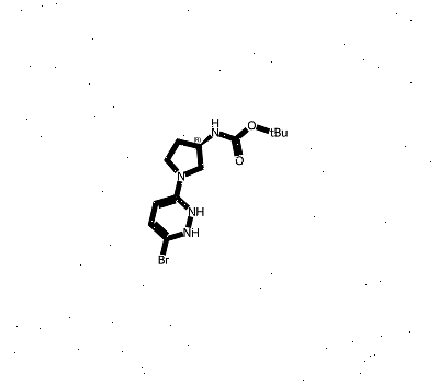 CC(C)(C)OC(=O)N[C@@H]1CCN(C2=CC=C(Br)NN2)C1